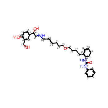 O=C(Nc1ccccc1)Nc1ccccc1CCCCOCCCCCCNC[C@H](O)c1ccc(O)c(CO)c1